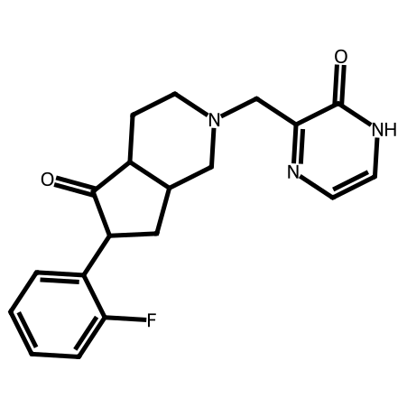 O=C1C(c2ccccc2F)CC2CN(Cc3ncc[nH]c3=O)CCC12